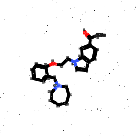 COC(=O)c1ccc2ccn(CCOc3ccccc3CN3CCCCCC3)c2c1